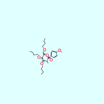 CCCCOC[C@H]1O[P@@](=O)(c2ccc(OC)cc2)C(C)[C@@H](OCCCC)[C@@H]1OCCCC